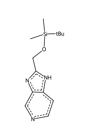 CC(C)(C)[Si](C)(C)OCc1nc2cnccc2[nH]1